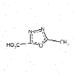 Cc1nnc(C(=O)O)o1